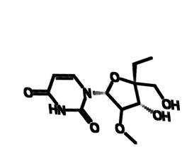 CC[C@]1(CO)O[C@@H](n2ccc(=O)[nH]c2=O)C(OC)[C@H]1O